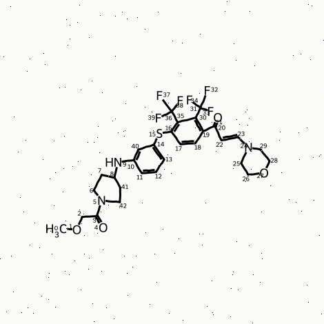 COCC(=O)N1CCC(Nc2cccc(Sc3ccc(C(=O)C=CN4CCOCC4)c(C(F)(F)F)c3C(F)(F)F)c2)CC1